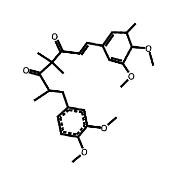 COC1=CC(/C=C/C(=O)C(C)(C)C(=O)C(C)Cc2ccc(OC)c(OC)c2)=CC(C)C1OC